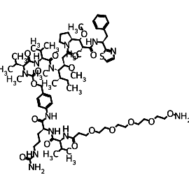 CC[C@H](C)[C@@H]([C@@H](CC(=O)N1CCC[C@H]1[C@H](OC)[C@@H](C)C(=O)N[C@@H](Cc1ccccc1)c1nccs1)OC)N(C)C(=O)[C@@H](NC(=O)[C@H](C(C)C)N(C)C(=O)OCc1ccc(NC(=O)[C@H](CCCNC(N)=O)NC(=O)[C@@H](NC(=O)CCOCCOCCOCCOCCON)C(C)C)cc1)C(C)C